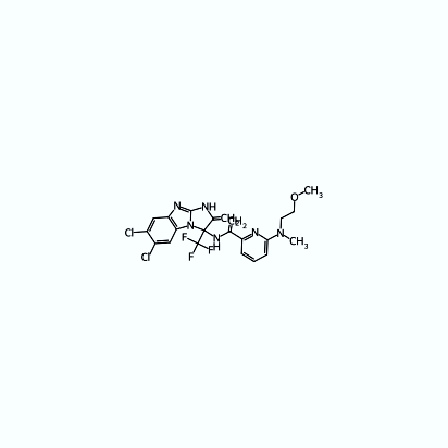 C=C(NC1(C(F)(F)F)C(=C)Nc2nc3cc(Cl)c(Cl)cc3n21)c1cccc(N(C)CCOC)n1